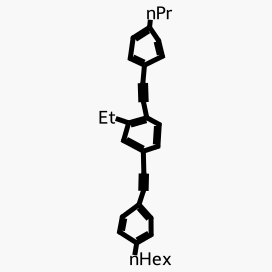 CCCCCCc1ccc(C#Cc2ccc(C#Cc3ccc(CCC)cc3)c(CC)c2)cc1